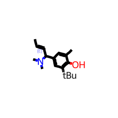 C/C=C/C(c1cc(C)c(O)c(C(C)(C)C)c1)N(C)C